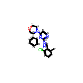 Cc1cccc(Cl)c1CNc1nccc(N2CCOC[C@@H]2c2ccccc2)n1